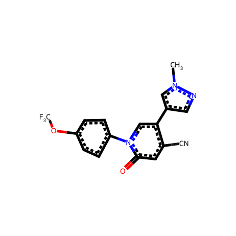 Cn1cc(-c2cn(-c3ccc(OC(F)(F)F)cc3)c(=O)cc2C#N)cn1